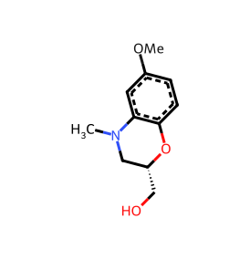 COc1ccc2c(c1)N(C)C[C@@H](CO)O2